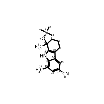 C[Si](C)(C)OC1(C(F)(F)F)CCCc2c1[nH]c1c(C(F)(F)F)cc(C#N)cc21